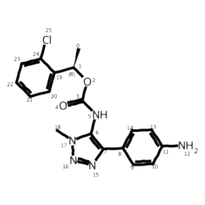 C[C@@H](OC(=O)Nc1c(-c2ccc(N)cc2)nnn1C)c1ccccc1Cl